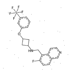 Fc1ccc2cnccc2c1CNC1CC(Oc2cccc(S(F)(F)(F)(F)F)c2)C1